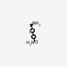 NC(=O)c1ccc(-c2ccc([C@H]3C[C@@H]3N)cn2)cc1